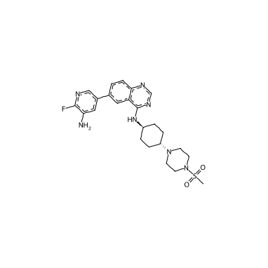 CS(=O)(=O)N1CCN([C@H]2CC[C@H](Nc3ncnc4ccc(-c5cnc(F)c(N)c5)cc34)CC2)CC1